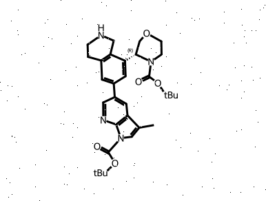 Cc1cn(C(=O)OC(C)(C)C)c2ncc(-c3cc4c(c([C@@H]5COCCN5C(=O)OC(C)(C)C)c3)CNCC4)cc12